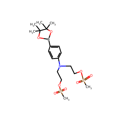 CC1(C)OB(c2ccc(N(CCOS(C)(=O)=O)CCOS(C)(=O)=O)cc2)OC1(C)C